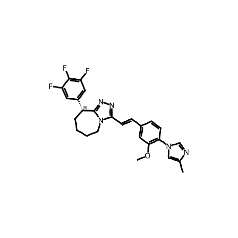 COc1cc(C=Cc2nnc3n2CCCC[C@@H]3c2cc(F)c(F)c(F)c2)ccc1-n1cnc(C)c1